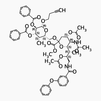 C#CCCO[C@@H]1O[C@H](COC2(C(=O)OC)C[C@H](OC(C)=O)[C@@H](NC(C)=O)[C@H]([C@H](C)[C@@H](CNC(=O)c3cccc(Oc4ccccc4)c3)OC(C)=O)O2)[C@H](C)[C@H](OC(=O)c2ccccc2)[C@H]1OC(=O)c1ccccc1